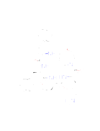 CC(C)C[C@@H](NC(=O)[C@@H](Cc1ccccc1)NC(=O)[C@H](N)Cc1ccccc1)C(=O)N[C@H](CCCN)C(=O)N1CCCOCC1